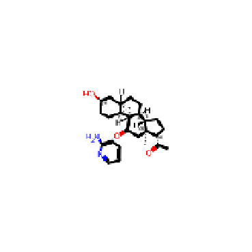 CC(=O)[C@H]1CC[C@H]2[C@@H]3CC[C@H]4C[C@H](O)CC[C@]4(C)[C@H]3C(=O)C[C@]12C.Nc1ccccn1